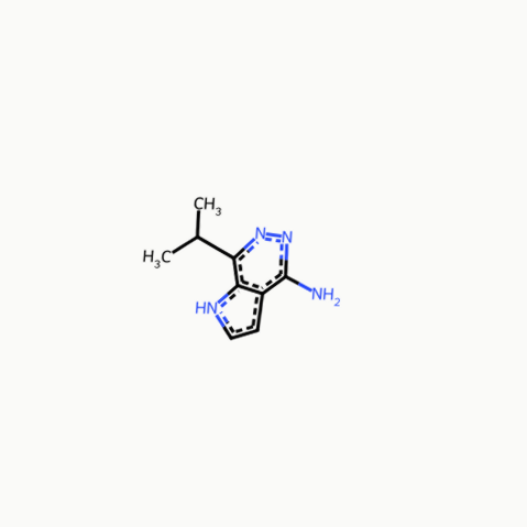 CC(C)c1nnc(N)c2cc[nH]c12